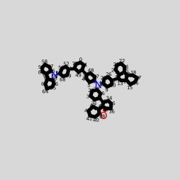 c1cc(-c2ccc(N(c3ccc(-c4cc5ccccc5c5ccccc45)cc3)c3cccc(-c4cccc5oc6ccccc6c45)c3)cc2)cc(-c2ccc(-n3c4ccccc4c4ccccc43)cc2)c1